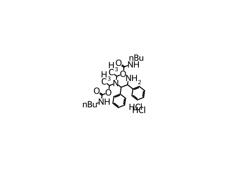 CCCCNC(=O)OC(C)N(C(C)OC(=O)NCCCC)C(c1ccccc1)C(N)c1ccccc1.Cl.Cl